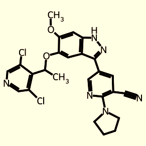 COc1cc2[nH]nc(-c3cnc(N4CCCC4)c(C#N)c3)c2cc1OC(C)c1c(Cl)cncc1Cl